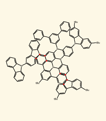 CC(C)(C)c1cc(-c2ccccc2)c(N2c3cc(-n4c5ccc(C(C)(C)C)cc5c5cc(C(C)(C)C)ccc54)ccc3B3c4ccc(-n5c6ccc(C(C)(C)C)cc6c6cc(C(C)(C)C)ccc65)cc4N(c4cc(-c5ccccc5)cc(-c5ccccc5)c4)c4cc(-n5c6ccccc6c6cc(-n7c8ccccc8c8ccccc87)ccc65)cc2c43)c(-c2ccccc2)c1